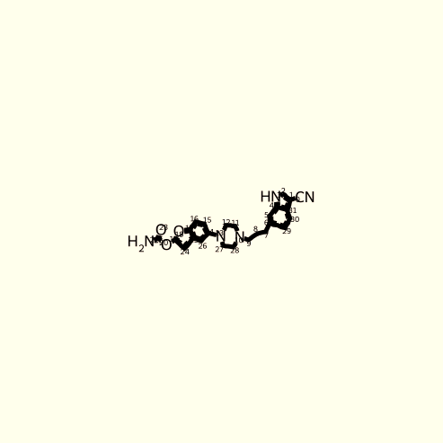 N#Cc1c[nH]c2cc(CCCN3CCN(c4ccc5oc(OC(N)=O)cc5c4)CC3)ccc12